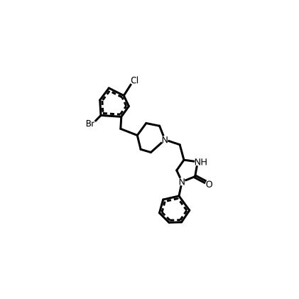 O=C1NC(CN2CCC(Cc3cc(Cl)ccc3Br)CC2)CN1c1ccccc1